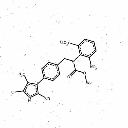 CCOC(=O)c1cccc([N+](=O)[O-])c1N(Cc1ccc(-c2c(C#N)[nH]c(Cl)c2C)cc1)C(=O)OC(C)(C)C